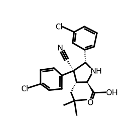 CC(C)(C)C[C@H]1[C@H](C(=O)O)N[C@@H](c2cccc(Cl)c2)[C@]1(C#N)c1ccc(Cl)cc1